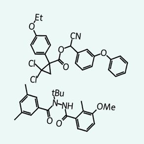 CCOc1ccc(C2(C(=O)OC(C#N)c3cccc(Oc4ccccc4)c3)CC2(Cl)Cl)cc1.COc1cccc(C(=O)NN(C(=O)c2cc(C)cc(C)c2)C(C)(C)C)c1C